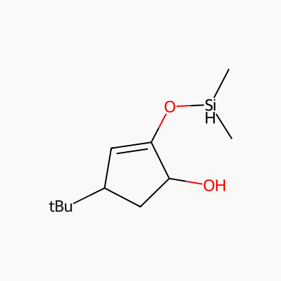 C[SiH](C)OC1=CC(C(C)(C)C)CC1O